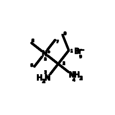 CCC(N)(N)[N+](C)(C)C.[Br-]